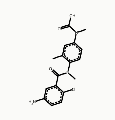 Cc1cc(N(C)C(=O)O)ccc1N(C)C(=O)c1cc(N)ccc1Cl